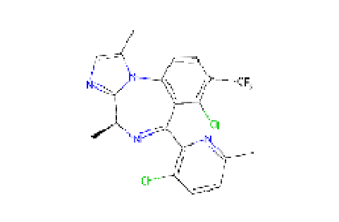 Cc1ccc(Cl)c(C2=N[C@@H](C)c3ncc(C)n3-c3ccc(C(F)(F)F)c(Cl)c32)n1